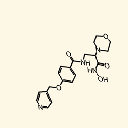 O=C(NCC(C(=O)NO)N1CCOCC1)c1ccc(OCc2ccncc2)cc1